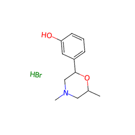 Br.CC1CN(C)CC(c2cccc(O)c2)O1